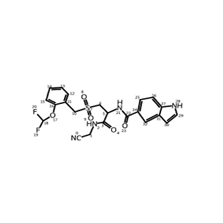 N#CCNC(=O)C(CS(=O)(=O)Cc1ccccc1OC(F)F)NC(=O)c1ccc2[nH]ccc2c1